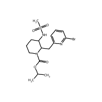 CC(C)OC(=O)N1CCCC(NS(C)(=O)=O)C1Cc1cccc(Br)n1